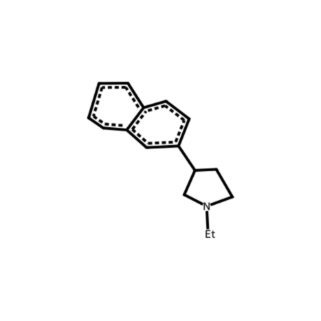 CCN1CCC(c2ccc3ccccc3c2)C1